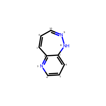 C1=Cc2ncccc2NN=C1